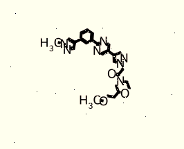 COCCC1CN(C(=O)Cn2cc(-c3cnc(-c4cccc(-c5cnn(C)c5)c4)nc3)cn2)CCO1